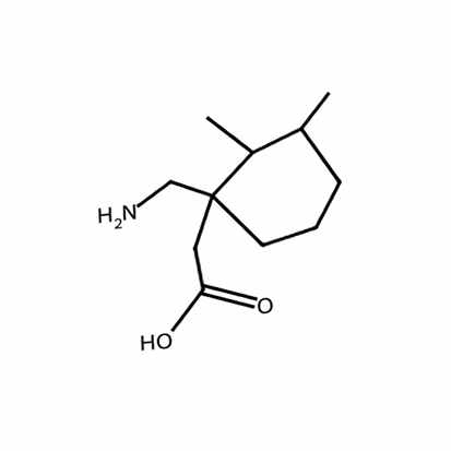 CC1CCCC(CN)(CC(=O)O)C1C